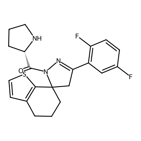 O=C([C@@H]1CCCN1)N1N=C(c2cc(F)ccc2F)CC12CCCc1ccsc12